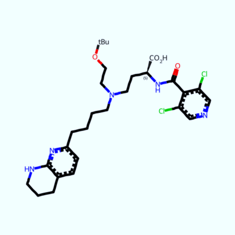 CC(C)(C)OCCN(CCCCc1ccc2c(n1)NCCC2)CC[C@H](NC(=O)c1c(Cl)cncc1Cl)C(=O)O